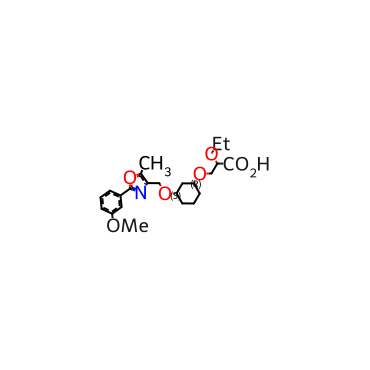 CCOC(CO[C@@H]1CCC[C@H](OCc2nc(-c3cccc(OC)c3)oc2C)C1)C(=O)O